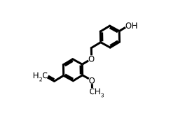 C=Cc1ccc(OCc2ccc(O)cc2)c(OC)c1